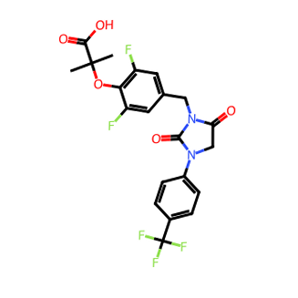 CC(C)(Oc1c(F)cc(CN2C(=O)CN(c3ccc(C(F)(F)F)cc3)C2=O)cc1F)C(=O)O